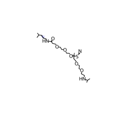 CC(C)/C=C/CNC(=O)CCOCCOCCO[C@@](C)(CCOCCOCCNC(C)C)SC#N